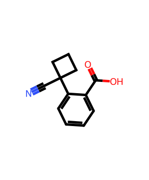 N#CC1(c2ccccc2C(=O)O)CCC1